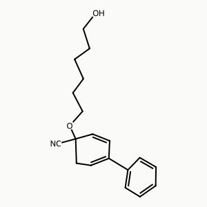 N#CC1(OCCCCCCO)C=CC(c2ccccc2)=CC1